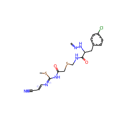 C=NNC(Cc1ccc(Cl)cc1)C(=O)NCSCC(=O)N/C(=N/C=C/C#N)SC